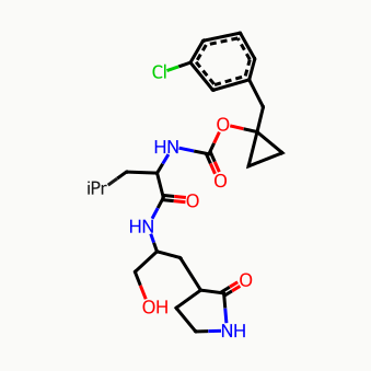 CC(C)CC(NC(=O)OC1(Cc2cccc(Cl)c2)CC1)C(=O)NC(CO)CC1CCNC1=O